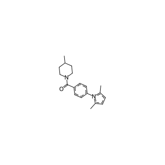 Cc1ccc(C)n1-c1ccc(C(=O)N2CCC(C)CC2)cc1